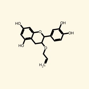 C=CCOC1Cc2c(O)cc(O)cc2OC1c1ccc(O)c(O)c1